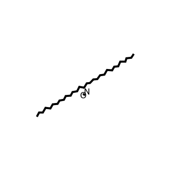 CCCCCCCCCCCCCCCC(CCCCCCCCCCCCCC)N=O